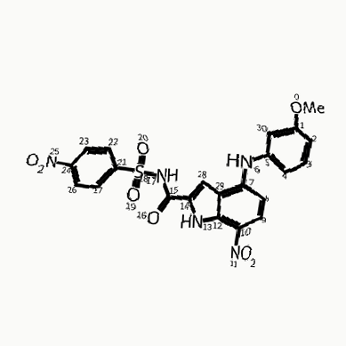 COc1cccc(Nc2ccc([N+](=O)[O-])c3[nH]c(C(=O)NS(=O)(=O)c4ccc([N+](=O)[O-])cc4)cc23)c1